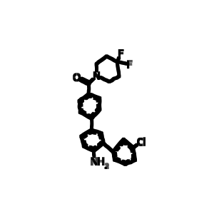 Nc1ccc(-c2ccc(C(=O)N3CCC(F)(F)CC3)cc2)cc1-c1cccc(Cl)c1